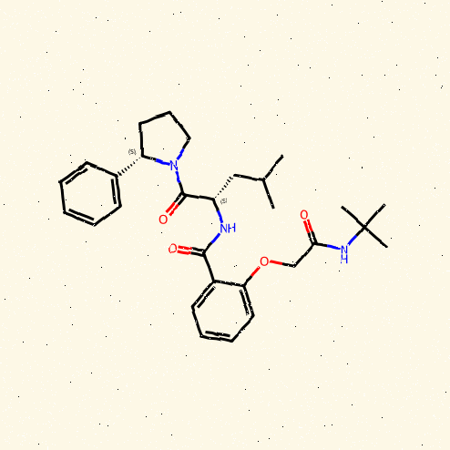 CC(C)C[C@H](NC(=O)c1ccccc1OCC(=O)NC(C)(C)C)C(=O)N1CCC[C@H]1c1ccccc1